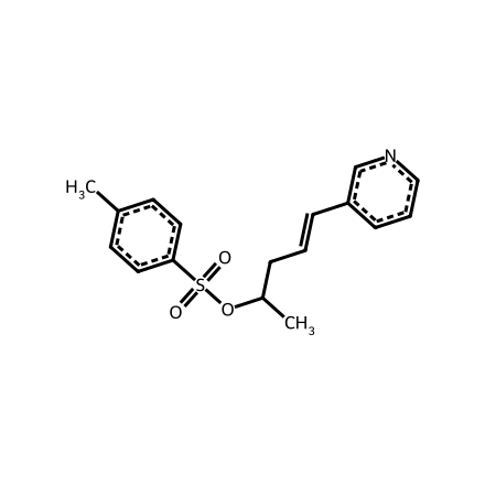 Cc1ccc(S(=O)(=O)OC(C)C/C=C/c2cccnc2)cc1